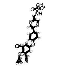 CS(=O)(=O)NCc1cnc(-c2ccc(Oc3cc(Cl)c(OC4CC4)c(C#N)c3)cc2)cn1